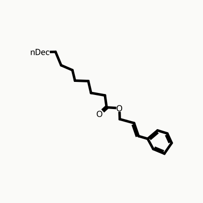 CCCCCCCCCCCCCCCCCC(=O)OCC=Cc1ccccc1